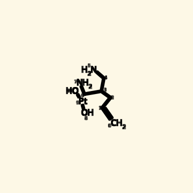 C=CCC(CN)CN.[OH][Pt][OH]